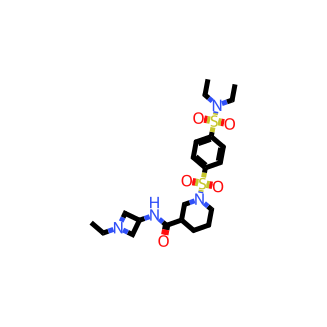 CCN1CC(NC(=O)C2CCCN(S(=O)(=O)c3ccc(S(=O)(=O)N(CC)CC)cc3)C2)C1